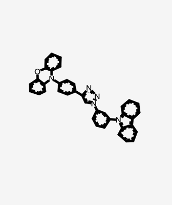 c1cc(-n2cc(-c3ccc(N4c5ccccc5Oc5ccccc54)cc3)nn2)cc(-n2c3ccccc3c3ccccc32)c1